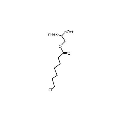 CCCCCCCCC(CCCCCC)COC(=O)CCCCCCCl